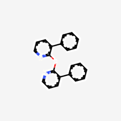 c1ccc(-c2cccnc2Oc2ncccc2-c2ccccc2)cc1